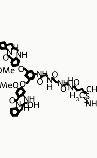 COc1cc2c(cc1OCc1cc(COc3cc4c(cc3OC)C(=O)N3c5ccccc5C[C@H]3C(O)N4)cc(NC(=O)CNC(=O)CNC(=O)CNC(=O)CCC(C)(C)SSN)c1)NC[C@@H]1Cc3ccccc3N1C2=O